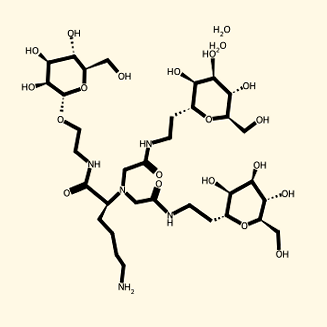 NCCCC[C@@H](C(=O)NCCO[C@H]1O[C@H](CO)[C@@H](O)[C@H](O)[C@@H]1O)N(CC(=O)NCC[C@H]1O[C@H](CO)[C@@H](O)[C@H](O)[C@@H]1O)CC(=O)NCC[C@H]1O[C@H](CO)[C@@H](O)[C@H](O)[C@@H]1O.O.O